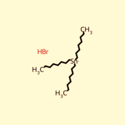 Br.CCCCCCC[CH2][Sn]([CH2]CCCCCCC)[CH2]CCCCCCC